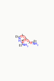 CCC(N)COC(C)COCC(COCC(C)OCC(N)CC)OC[C@H](C)OCC(N)CC